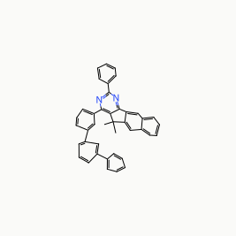 CC1(C)c2cc3ccccc3cc2-c2nc(-c3ccccc3)nc(-c3cccc(-c4cccc(-c5ccccc5)c4)c3)c21